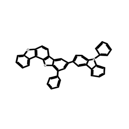 c1ccc(-c2cc(-c3ccc4c(c3)c3ccccc3n4-c3ccccc3)cc3c2oc2c3ccc3oc4ccccc4c32)cc1